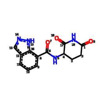 O=C1CCC(NC(=O)c2cccc3cn[nH]c23)C(=O)N1